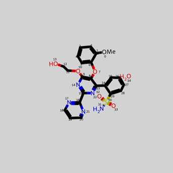 COc1ccccc1Oc1c(OCCO)nc(-c2ncccn2)nc1-c1ccccc1S(N)(=O)=O.O